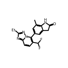 CCc1nc2ccc(C(F)F)c(-c3cc(C)c4c(c3)CC(=O)N4)n2n1